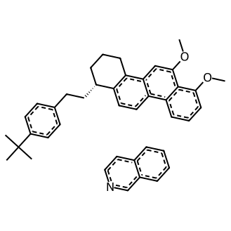 COc1cccc2c1c(OC)cc1c3c(ccc12)[C@H](CCc1ccc(C(C)(C)C)cc1)CCC3.c1ccc2cnccc2c1